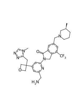 C[C@H]1CCCN(Cc2cc3c(c(C(F)(F)F)c2)CN(c2cc(C4(Cc5nncn5C)COC4)cc(CN)n2)C3=O)C1